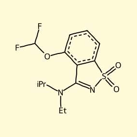 CCN(C1=NS(=O)(=O)c2cccc(OC(F)F)c21)C(C)C